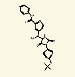 CC(c1ccnc(C(=O)Nc2ccccc2)c1)C1NC(=O)N(c2ccc(OC(F)(F)F)cc2)C1=O